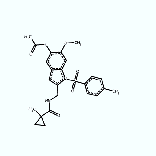 COc1cc2c(cc1SC(C)=O)cc(CNC(=O)C1(C)CC1)n2S(=O)(=O)c1ccc(C)cc1